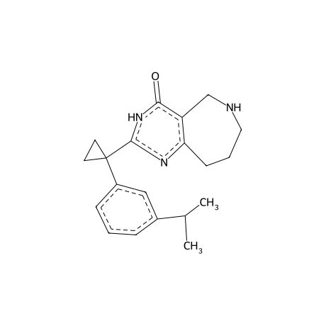 CC(C)c1cccc(C2(c3nc4c(c(=O)[nH]3)CNCCC4)CC2)c1